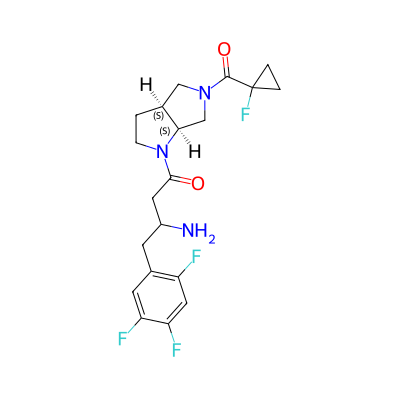 NC(CC(=O)N1CC[C@H]2CN(C(=O)C3(F)CC3)C[C@H]21)Cc1cc(F)c(F)cc1F